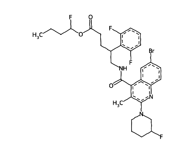 CCCC(F)OC(=O)CCC(CNC(=O)c1c(C)c(N2CCCC(F)C2)nc2ccc(Br)cc12)c1c(F)cccc1F